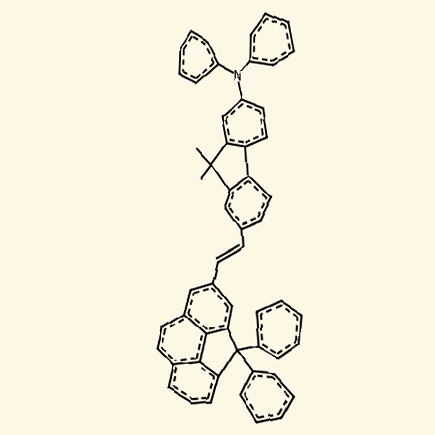 CC1(C)c2cc(/C=C/c3cc4c5c(ccc6cccc(c65)C4(c4ccccc4)c4ccccc4)c3)ccc2-c2ccc(N(c3ccccc3)c3ccccc3)cc21